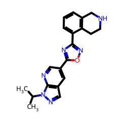 CC(C)n1ncc2cc(-c3nc(-c4cccc5c4CCNC5)no3)cnc21